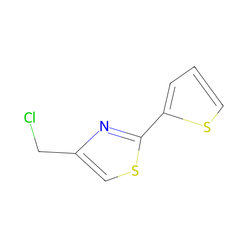 ClCc1csc(-c2cccs2)n1